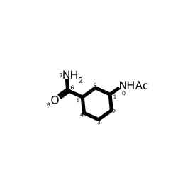 CC(=O)NC1CCCC(C(N)=O)C1